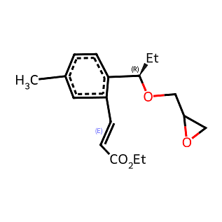 CCOC(=O)/C=C/c1cc(C)ccc1[C@@H](CC)OCC1CO1